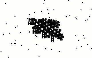 Cc1cc(C(c2ccccc2)c2cc(C(c3ccccc3)c3cc(C(c4ccccc4)c4cc(C(C)c5ccccc5)c(O)c(CO)c4O)c(O)c(CO)c3O)c(O)c(CO)c2O)c(O)c(CO)c1O